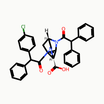 O=C(C(c1ccccc1)c1ccccc1)N1C2=C3C[C@H]1CN(C(=O)C(c1ccccc1)c1ccc(Cl)cc1)[C@]32C(=O)O